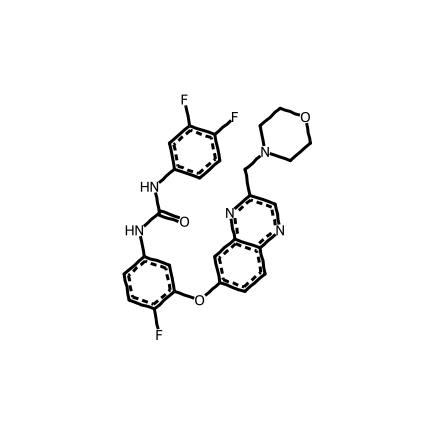 O=C(Nc1ccc(F)c(F)c1)Nc1ccc(F)c(Oc2ccc3ncc(CN4CCOCC4)nc3c2)c1